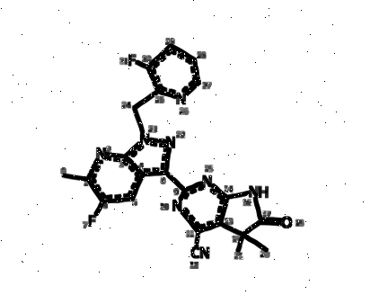 Cc1nc2c(cc1F)c(-c1nc(C#N)c3c(n1)NC(=O)C3(C)C)nn2Cc1ncccc1F